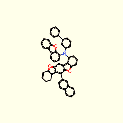 C1=Cc2oc3cc4c(oc5cccc(N(c6cccc(-c7ccccc7)c6)c6cccc7c6oc6ccccc67)c54)c(-c4ccc5ccccc5c4)c3c2CC1